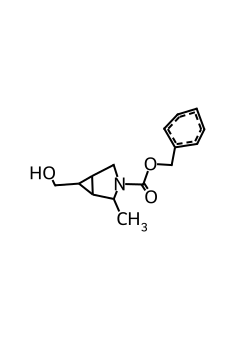 CC1C2C(CO)C2CN1C(=O)OCc1ccccc1